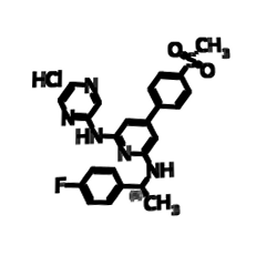 C[C@H](Nc1cc(-c2ccc(S(C)(=O)=O)cc2)cc(Nc2cnccn2)n1)c1ccc(F)cc1.Cl